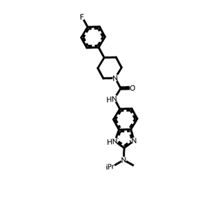 CC(C)N(C)c1nc2ccc(NC(=O)N3CCC(c4ccc(F)cc4)CC3)cc2[nH]1